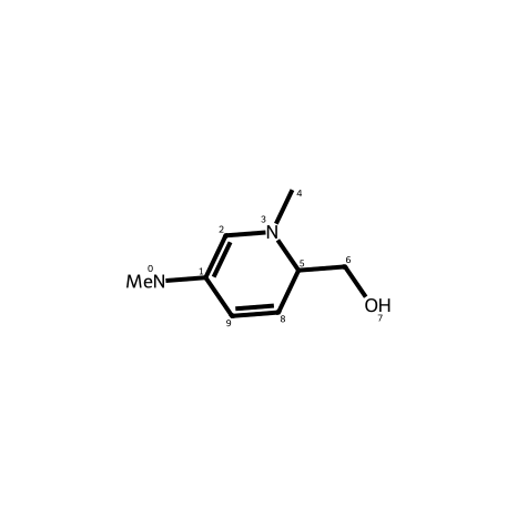 CNC1=CN(C)C(CO)C=C1